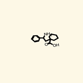 NC(CC1(C(=O)O)CCCCC1)c1ccccc1